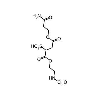 NC(=O)CCOC(=O)CC(C(=O)OCCNC=O)S(=O)(=O)O